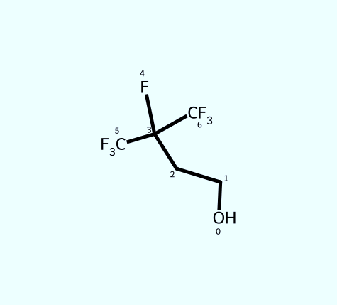 OCCC(F)(C(F)(F)F)C(F)(F)F